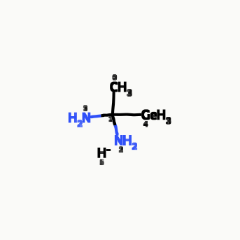 C[C](N)(N)[GeH3].[H-]